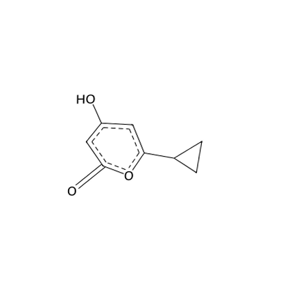 O=c1cc(O)cc(C2CC2)o1